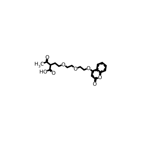 CC(=O)C(CCOCCOCCOc1cc(=O)oc2ccccc12)C(=O)O